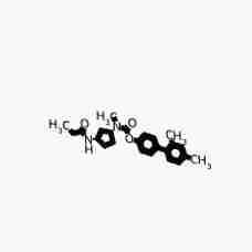 CCC(=O)N[C@H]1CC[C@@H](N(C)C(=O)Oc2ccc(-c3ccc(C)cc3C)cc2)C1